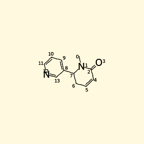 CN1C(=O)C=CCC1c1cccnc1